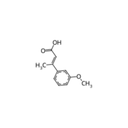 COc1cccc(/C(C)=C/C(=O)O)c1